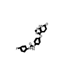 O=C1CCc2c(ncnc2Oc2ccc(NC(=O)Nc3ccc(F)cc3)cc2)N1